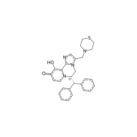 O=c1ccn2c(c1O)-c1ncc(CN3CCSCC3)n1C[C@@H]2C(c1ccccc1)c1ccccc1